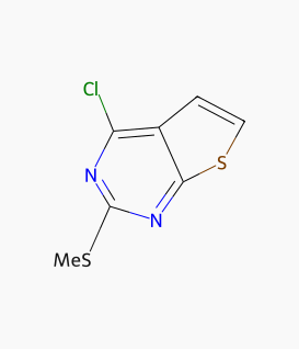 CSc1nc(Cl)c2ccsc2n1